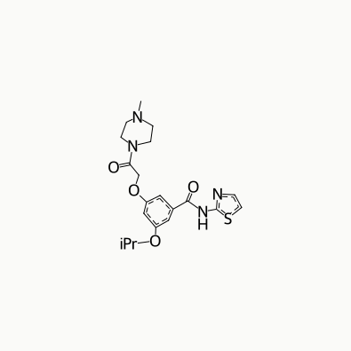 CC(C)Oc1cc(OCC(=O)N2CCN(C)CC2)cc(C(=O)Nc2nccs2)c1